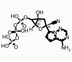 N#C[C@]1(c2ccc3c(N)ncnn23)C[C@@]2(O)C(OP(=O)(O)OP(=O)(O)OP(=O)(O)O)[C@H]2O1